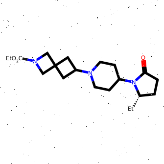 CCOC(=O)N1CC2(CC(N3CCC(N4C(=O)CC[C@@H]4CC)CC3)C2)C1